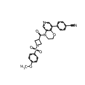 COc1ccc(S(=O)(=O)N2CC(C(=O)N3CCOc4c(-c5ccc(C#N)cc5)cncc43)C2)cc1